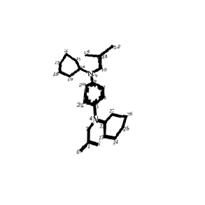 CC(C)CN(c1ccc(N(CC(C)C)C2CCCCC2)cc1)C1CCCCC1